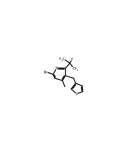 Cc1[c]c(Br)nc(C(F)(C(F)(F)F)C(F)(F)F)c1Cc1ccsc1